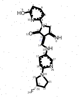 N=C1CN(c2cccc(O)n2)C(=O)/C1=C/Nc1ccc(N2CC[C@H](F)C2)nc1